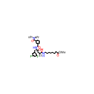 CCCN(CCC)C(=O)c1cccc(C(=O)N[C@@H](Cc2cc(F)cc(F)c2)[C@@H](O)C[C@@H](CC)C(=O)NCCCCCCCC(=O)OC)c1